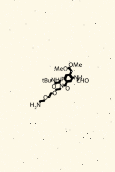 COC(Cc1ccc(C(=O)N(CCOCCOCCN)C(C(=O)NC(C)(C)C)C(C)C)cc1NC=O)OC